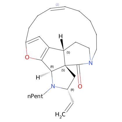 C=C[C@H]1C[C@@]23C(=O)N4CCCC/C=C\CCc5cc(c(o5)[C@@H]2N1CCCCC)[C@@H]3CC4